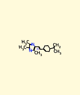 C=C(C)C1CC=C(/C=C/c2nc(C)c(C)nc2C)CC1